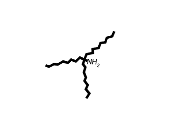 CCCCCCCCCC(N)(CCCCCCCCC)CCCCCCCCC